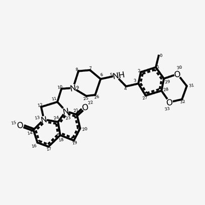 Cc1cc(CNC2CCN(CC3Cn4c(=O)ccc5ccc(=O)n3c54)CC2)cc2c1OCCO2